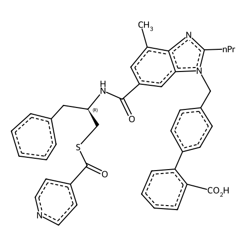 CCCc1nc2c(C)cc(C(=O)N[C@@H](CSC(=O)c3ccncc3)Cc3ccccc3)cc2n1Cc1ccc(-c2ccccc2C(=O)O)cc1